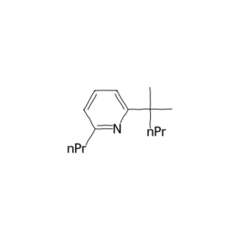 CCCc1cccc(C(C)(C)CCC)n1